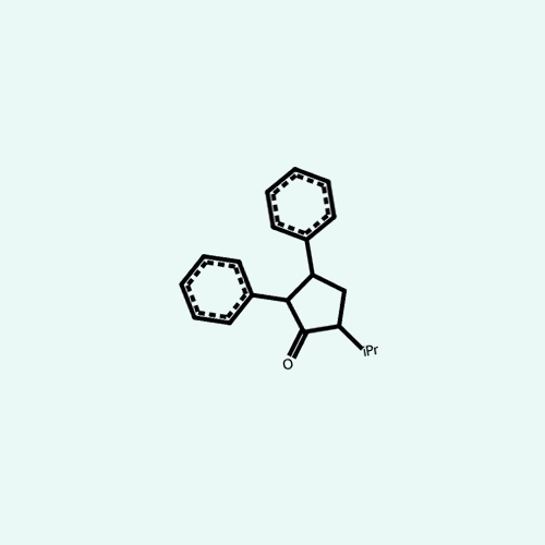 CC(C)C1CC(c2ccccc2)C(c2ccccc2)C1=O